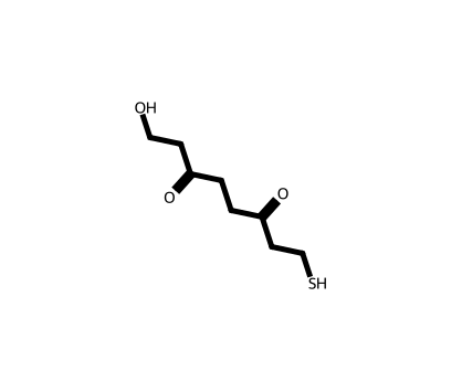 O=C(CCO)CCC(=O)CCS